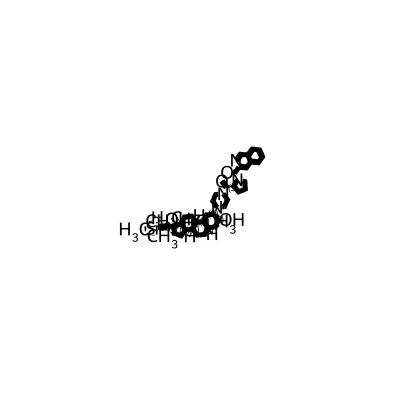 C[C@]12C[C@H](N3CCN(C(=O)[C@@H]4CCCN4C(=O)c4cc5ccccc5cn4)CC3)[C@@H](O)C[C@@H]1CC[C@@H]1[C@@H]2CC[C@@]2(C)[C@H]1CC[C@@]2(O)C#C[Si](C)(C)C